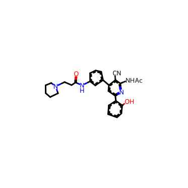 CC(=O)Nc1nc(-c2ccccc2O)cc(-c2cccc(NC(=O)CCN3CCCCC3)c2)c1C#N